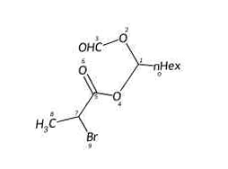 CCCCCCC(OC=O)OC(=O)C(C)Br